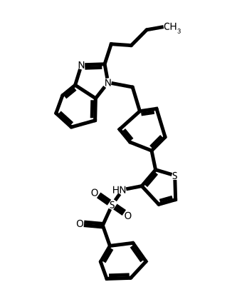 CCCCc1nc2ccccc2n1Cc1ccc(-c2sccc2NS(=O)(=O)C(=O)c2ccccc2)cc1